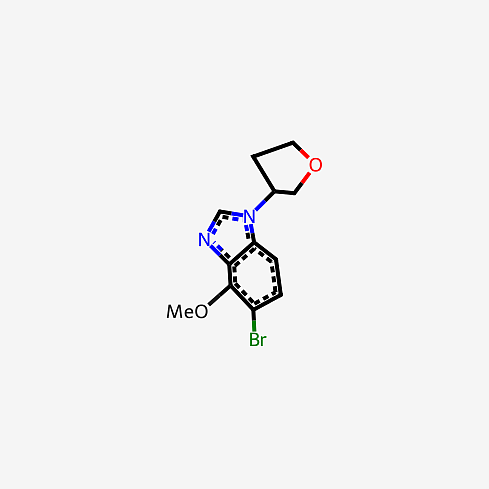 COc1c(Br)ccc2c1ncn2C1CCOC1